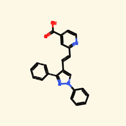 O=C(O)c1ccnc(C=Cc2cn(-c3ccccc3)nc2-c2ccccc2)c1